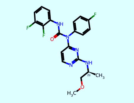 COC[C@H](C)Nc1nccc(N(C(=O)Nc2cccc(F)c2F)c2ccc(F)cc2)n1